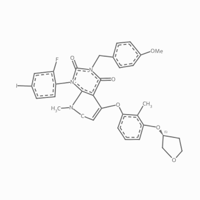 COc1ccc(Cn2c(=O)c3c(n(-c4ccc(I)cc4F)c2=O)N(C)CC=C3Oc2cccc(O[C@H]3CCOC3)c2C)cc1